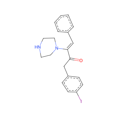 O=C(Cc1ccc(I)cc1)C(=Cc1ccccc1)N1CCNCC1